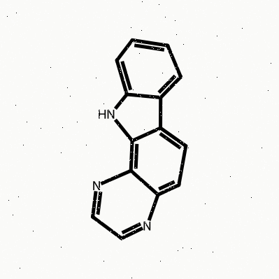 c1ccc2c(c1)[nH]c1c2ccc2nccnc21